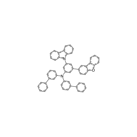 c1ccc(-c2cccc(N(c3cccc(-c4ccccc4)c3)c3cc(-c4ccc5oc6ccccc6c5c4)cc(-n4c5ccccc5c5ccccc54)c3)c2)cc1